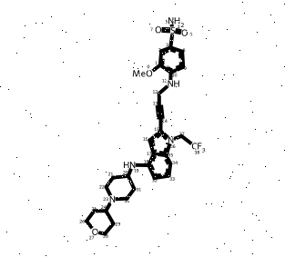 COc1cc(S(N)(=O)=O)ccc1NCC#Cc1cc2c(NC3CCN(C4CCOCC4)CC3)cccc2n1CC(F)(F)F